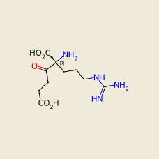 N=C(N)NCCC[C@](N)(C(=O)O)C(=O)CCC(=O)O